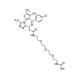 Cc1sc2c(c1C)C(c1ccc(Cl)cc1)=N[C@@H](CC(=O)NCCOCCOCCOCCNC(=O)O)c1nnc(C)n1-2